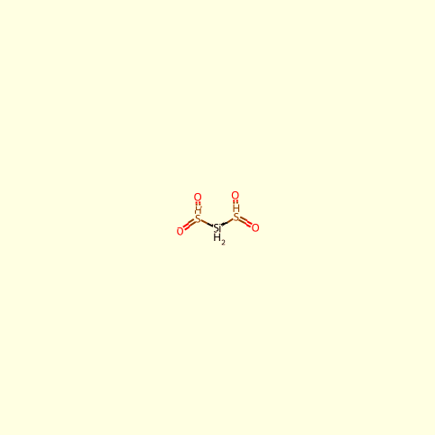 O=[SH](=O)[SiH2][SH](=O)=O